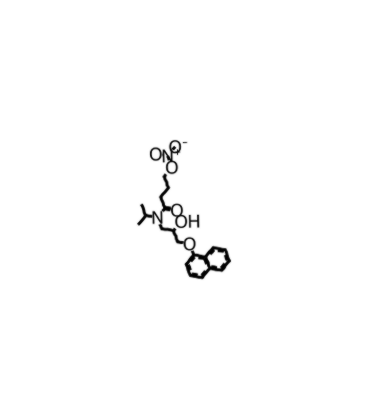 CC(C)N(CC(O)COc1cccc2ccccc12)C(=O)CCCO[N+](=O)[O-]